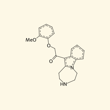 COc1ccccc1OCC(=O)c1c2n(c3ccccc13)CCNCC2